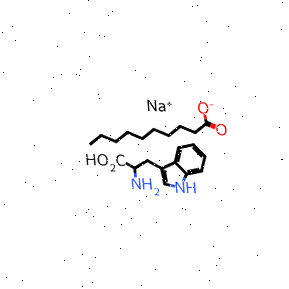 CCCCCCCCCC(=O)[O-].NC(Cc1c[nH]c2ccccc12)C(=O)O.[Na+]